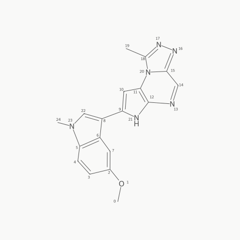 COc1ccc2c(c1)c(-c1cc3c(ncc4nnc(C)n43)[nH]1)cn2C